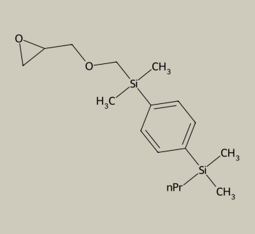 CCC[Si](C)(C)c1ccc([Si](C)(C)COCC2CO2)cc1